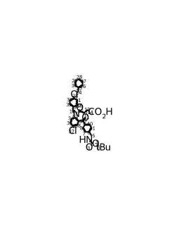 CC(C)(C)OC(=O)NCc1ccc(C2OC(CC(=O)O)C(=O)N(Cc3ccc(OCc4ccccc4)cc3)c3ccc(Cl)cc32)cc1